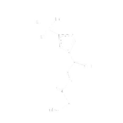 CCCCCCCCCCCC(=O)OCC(O)c1coc([Si](CC)(CC)CC)c1